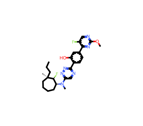 CCC[C@]1(C)CCCC[C@H](N(C)c2cnc(-c3ccc(-c4nc(OC)ncc4F)cc3O)nn2)[C@@H]1F